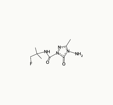 Cc1nn(C(=O)NC(C)(C)CF)c(=O)n1N